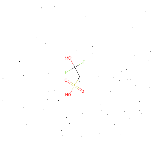 O=S(=O)(O)CC(O)(F)F